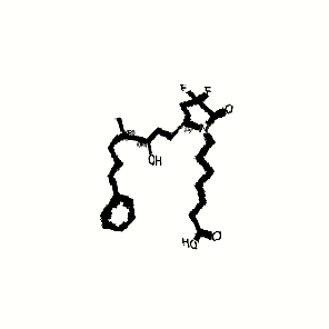 C[C@H](CCCc1ccccc1)[C@H](O)CC[C@H]1CC(F)(F)C(=O)N1CCCCCCC(=O)O